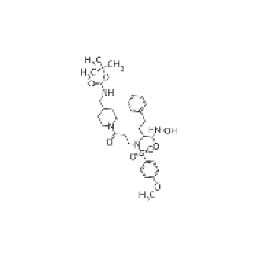 COc1ccc(S(=O)(=O)N(CCC(=O)N2CCC(CNC(=O)OC(C)(C)C)CC2)C(CCc2ccccc2)C(=O)NO)cc1